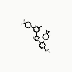 Cc1cc(-c2cn(-c3ccc([N+](=O)[O-])cc3N3CCC4(CC3)CC4)cn2)cc(N2CCC(F)(F)CC2)n1